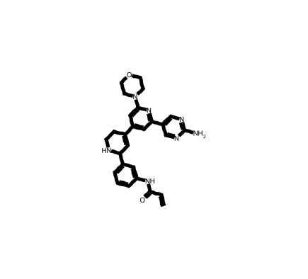 C=CC(=O)Nc1cccc(C2C=C(c3cc(-c4cnc(N)nc4)nc(N4CCOCC4)c3)CCN2)c1